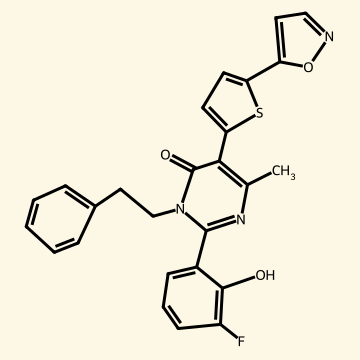 Cc1nc(-c2cccc(F)c2O)n(CCc2ccccc2)c(=O)c1-c1ccc(-c2ccno2)s1